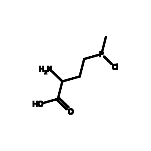 CP(Cl)CCC(N)C(=O)O